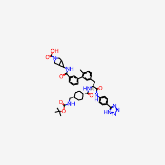 Cc1ccc(C[C@H](NC(=O)[C@H]2CC[C@H](CNC(=O)OC(C)(C)C)CC2)C(=O)Nc2ccc(-c3nnn[nH]3)cc2)cc1-c1cccc(C(=O)NC2C3CN(C(=O)O)CC32)c1